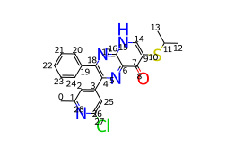 Cc1cc(-c2nc3c(=O)c(SC(C)C)c[nH]c3nc2-c2ccccc2)cc(Cl)n1